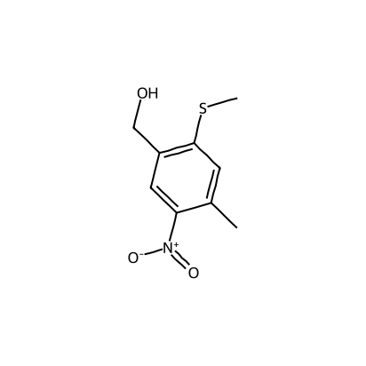 CSc1cc(C)c([N+](=O)[O-])cc1CO